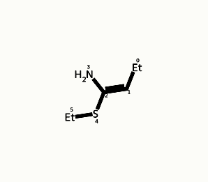 CC/C=C(\N)SCC